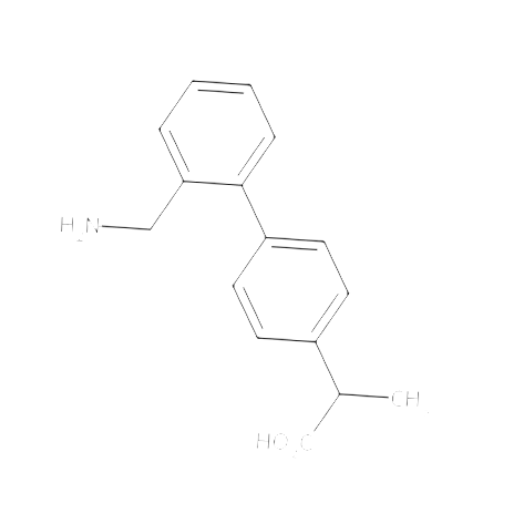 CC(C(=O)O)c1ccc(-c2ccccc2CN)cc1